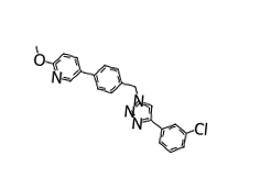 COc1ccc(-c2ccc(Cn3cc(-c4cccc(Cl)c4)nn3)cc2)cn1